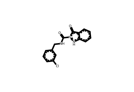 O=C(NCc1cccc(Cl)c1)n1[nH]c2ccccc2c1=O